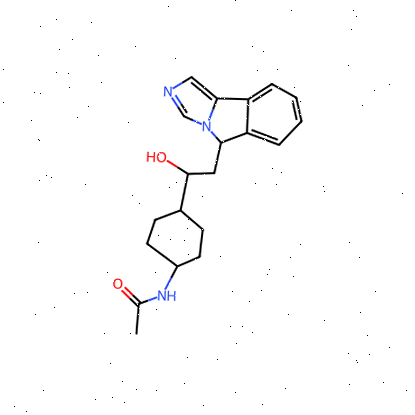 CC(=O)NC1CCC(C(O)CC2c3ccccc3-c3cncn32)CC1